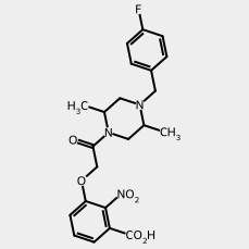 CC1CN(C(=O)COc2cccc(C(=O)O)c2[N+](=O)[O-])C(C)CN1Cc1ccc(F)cc1